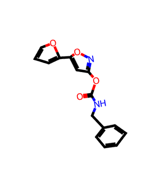 O=C(NCc1ccccc1)Oc1cc(-c2ccco2)on1